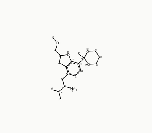 COCC1Cc2c(CC(N)C(C)C)ccc(C3(C)OCCCO3)c2O1